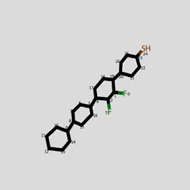 FC1C(F)C(C2CCC(C3CCCCC3)CC2)CCC1C1CCC(S)CC1